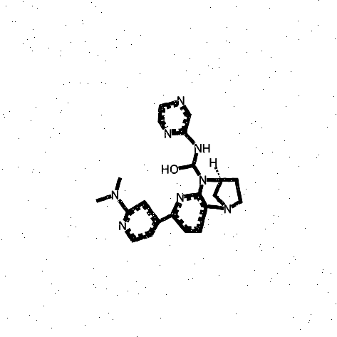 CN(C)c1cc(-c2ccc3c(n2)N(C(O)Nc2cnccn2)[C@H]2CCN3C2)ccn1